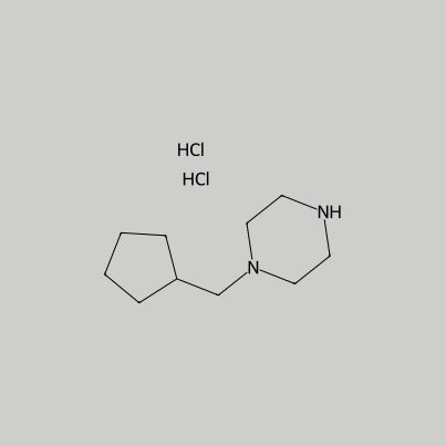 C1CCC(CN2CCNCC2)C1.Cl.Cl